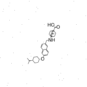 CC(C)[C@H]1CC[C@H](Oc2ccc3cc(CNC45CCC(C(=O)O)(CC4)CC5)ccc3c2)CC1